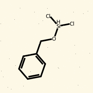 Cl[SiH](Cl)OCc1ccccc1